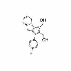 OCc1c(-c2ccc(F)cc2)c2c(n1CO)=C1CC=CC=C1C=2